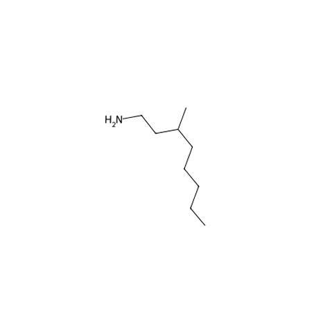 CCCCCC(C)CCN